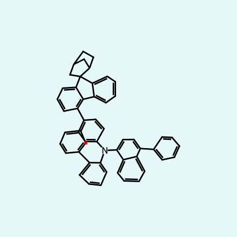 c1ccc(-c2ccccc2N(c2ccc(-c3cccc4c3-c3ccccc3C43CC4CCC3C4)cc2)c2ccc(-c3ccccc3)c3ccccc23)cc1